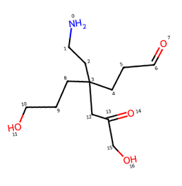 NCCC(CCC=O)(CCCO)CC(=O)CO